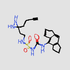 C#CCCC1(CCNS(=O)(=O)NC(=O)Nc2c3c(cc4c2CCC4)CCC3)NN1